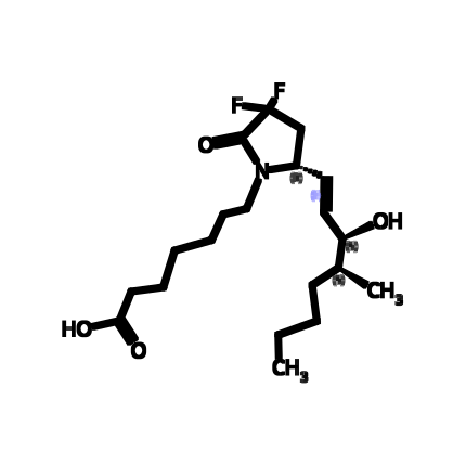 CCCC[C@H](C)[C@H](O)/C=C/[C@H]1CC(F)(F)C(=O)N1CCCCCCC(=O)O